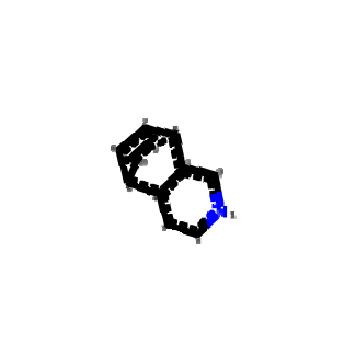 [c]1nccc2c3ccc(cc3)c12